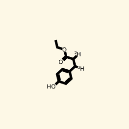 [2H]C(C(=O)OCC)C([2H])c1ccc(O)cc1